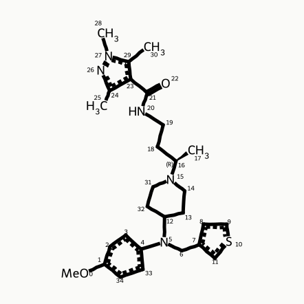 COc1ccc(N(Cc2ccsc2)C2CCN([C@H](C)CCNC(=O)c3c(C)nn(C)c3C)CC2)cc1